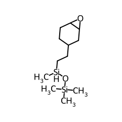 C[SiH](CCC1CCC2OC2C1)O[Si](C)(C)C